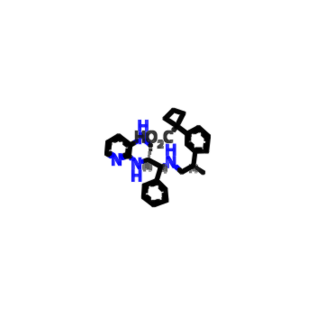 C[C@@H](CN[C@H](c1ccccc1)[C@H]1CNc2cccnc2N1)c1cccc(C2(C(=O)O)CCC2)c1